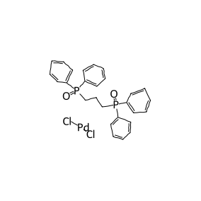 O=P(CCCP(=O)(c1ccccc1)c1ccccc1)(c1ccccc1)c1ccccc1.[Cl][Pd][Cl]